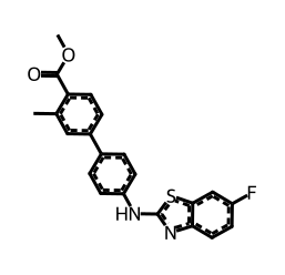 COC(=O)c1ccc(-c2ccc(Nc3nc4ccc(F)cc4s3)cc2)cc1C